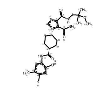 COC(C)(C)CNC(=O)c1ncn([C@H]2CC[C@H](C(=O)Nc3cc(C)c(F)cc3Cl)CC2)c1C(N)=O